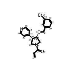 C=CC(=O)N1C[C@@H](OCc2cccc(CC)c2)[C@H](c2ccncc2)C1